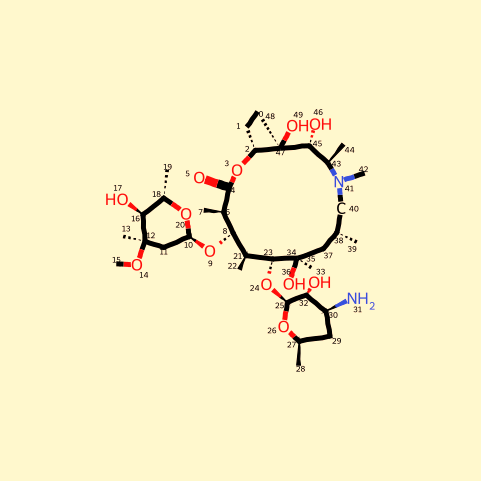 CC[C@H]1OC(=O)[C@H](C)[C@@H](O[C@H]2C[C@@](C)(OC)[C@@H](O)[C@H](C)O2)[C@H](C)[C@@H](O[C@@H]2O[C@H](C)C[C@H](N)[C@H]2O)[C@](C)(O)C[C@@H](C)CN(C)[C@H](C)[C@@H](O)[C@]1(C)O